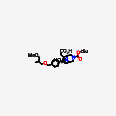 COCC(C)COCc1ccc(C2=CC3CN(C(=O)OC(C)(C)C)CC(C2CC(=O)O)N3C(=O)O)cc1